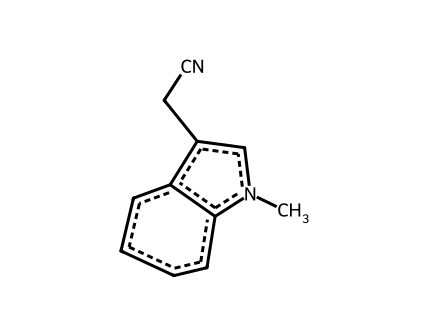 Cn1cc(CC#N)c2ccccc21